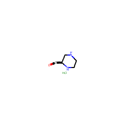 Cl.O=C=C1CNCCN1